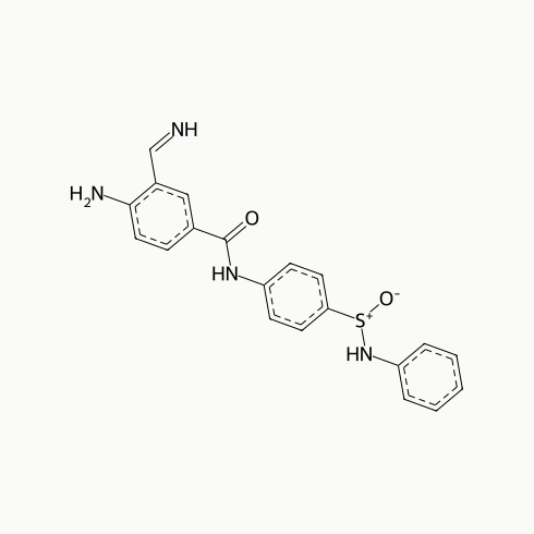 N=Cc1cc(C(=O)Nc2ccc([S+]([O-])Nc3ccccc3)cc2)ccc1N